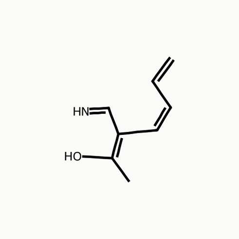 C=C/C=C\C(C=N)=C(/C)O